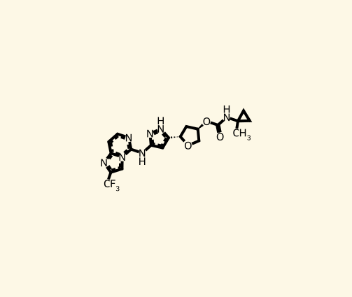 CC1(NC(=O)O[C@H]2CO[C@H](c3cc(Nc4nccc5nc(C(F)(F)F)cn45)n[nH]3)C2)CC1